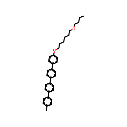 CCCCOCCCCCCOc1ccc(-c2ccc(-c3ccc(-c4ccc(C)cc4)cc3)cc2)cc1